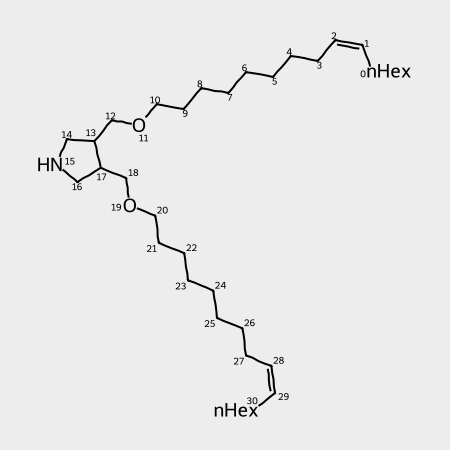 CCCCCC/C=C\CCCCCCCCOCC1CNCC1COCCCCCCCC/C=C\CCCCCC